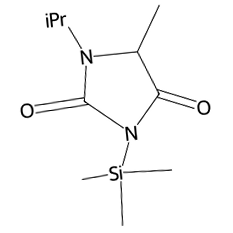 CC(C)N1C(=O)N([Si](C)(C)C)C(=O)C1C